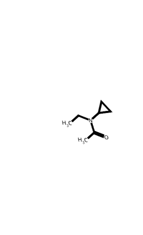 CCN(C(C)=O)C1CC1